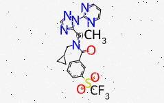 C[C@@H](c1ncnn1-c1ncccn1)N(CC1CC1)C(=O)c1cccc(S(=O)(=O)C(F)(F)F)c1